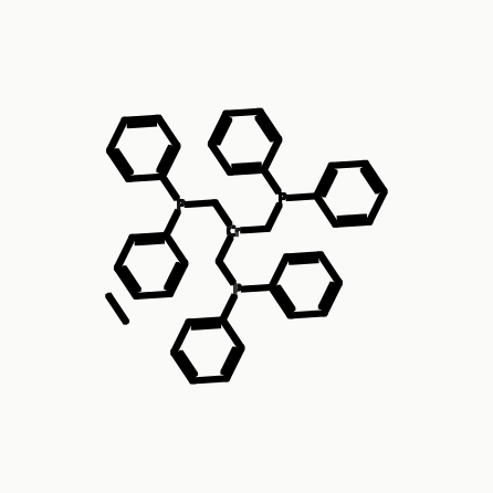 CC.c1ccc(P([CH2][Cr]([CH2]P(c2ccccc2)c2ccccc2)[CH2]P(c2ccccc2)c2ccccc2)c2ccccc2)cc1